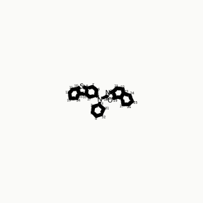 c1ccc(N(c2ccc3sc4ccccc4c3c2)c2nc3ccc4ccccc4c3o2)cc1